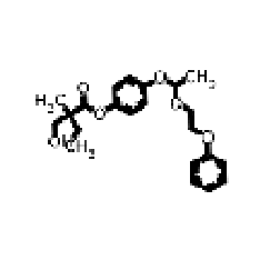 CCC(C)(CO)C(=O)Oc1ccc(OC(C)OCCOc2ccccc2)cc1